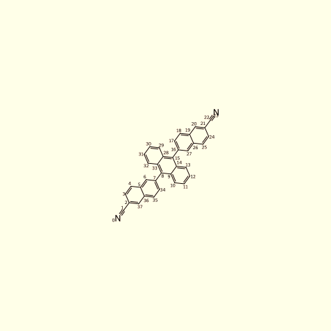 N#Cc1ccc2cc(-c3c4ccccc4c(-c4ccc5cc(C#N)ccc5c4)c4ccccc34)ccc2c1